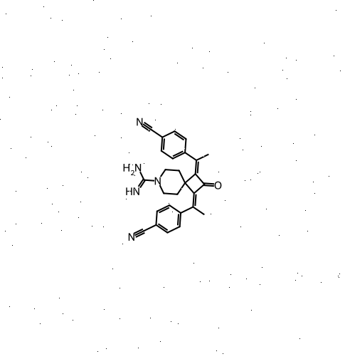 C/C(=C1\C(=O)/C(=C(\C)c2ccc(C#N)cc2)C12CCN(C(=N)N)CC2)c1ccc(C#N)cc1